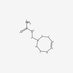 NC(=O)OCC1CC/C=C\CCC1